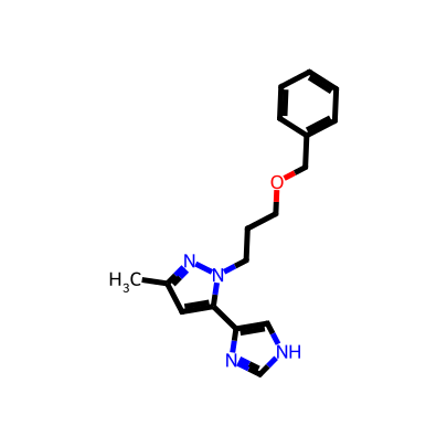 Cc1cc(-c2c[nH]cn2)n(CCCOCc2ccccc2)n1